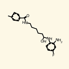 Cc1ccc(C(=O)NCCCCCC(O)Nc2ccc(F)cc2N)cc1